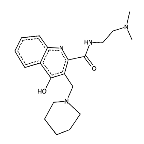 CN(C)CCNC(=O)c1nc2ccccc2c(O)c1CN1CCCCC1